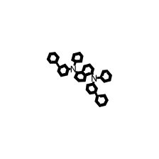 c1ccc(-c2cccc(N(c3ccccc3)c3cccc4c(N(c5ccccc5)c5cccc(-c6ccccc6)c5)cccc34)c2)cc1